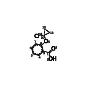 O=C(O)c1ccccc1OC1(Cl)CC1